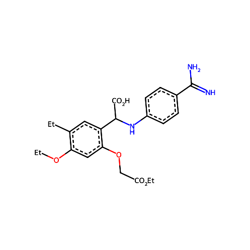 CCOC(=O)COc1cc(OCC)c(CC)cc1C(Nc1ccc(C(=N)N)cc1)C(=O)O